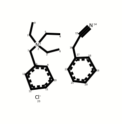 CC[N+](CC)(CC)Cc1ccccc1.N#CCc1ccccc1.[Cl-]